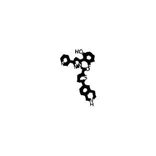 O=C(C1=CCC(c2ccc3c(c2)CCNC3)S1)N1N=C(c2cccnc2)CC1c1c(O)cccc1F